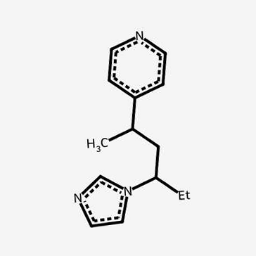 CCC(CC(C)c1ccncc1)n1ccnc1